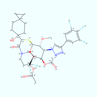 CO[C@@H]1[C@@H](n2cc(-c3cc(F)c(F)c(F)c3)nn2)[C@@H](OC(C)=O)[C@@H](COC(C)=O)O[C@H]1SC(C(=O)N1CCC(F)(F)CC1)C1(O)CCC2(CC2)CC1